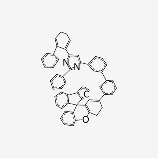 C1=C(c2cccc(-c3cccc(-c4cc(C5=CCCC=C5c5ccccc5)nc(-c5ccccc5)n4)c3)c2)CCC2=C1C1(c3ccccc3O2)c2ccccc2-c2ccccc21